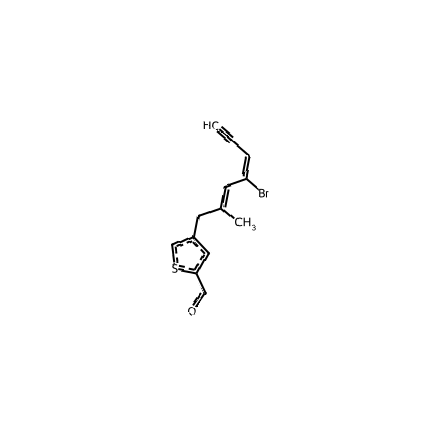 C#C/C=C(Br)\C=C(/C)Cc1csc(C=O)c1